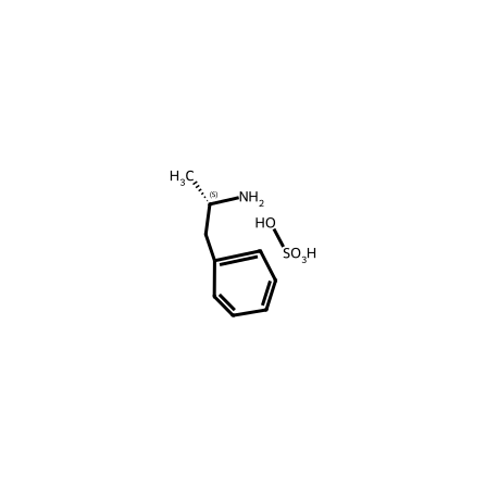 C[C@H](N)Cc1ccccc1.O=S(=O)(O)O